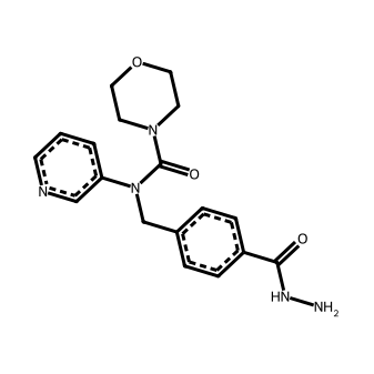 NNC(=O)c1ccc(CN(C(=O)N2CCOCC2)c2cccnc2)cc1